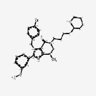 CN1CN(CCCOC2CCCCO2)C(=O)c2c1nc(-c1cccc(OC(F)(F)F)c1)n2Cc1ccc(Cl)cc1